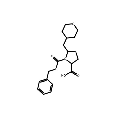 O=C(O)C1CSC(CC2CCOCC2)N1C(=O)OCc1ccccc1